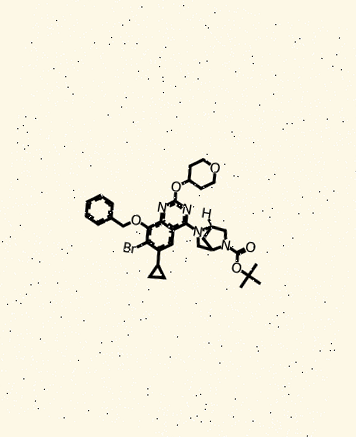 CC(C)(C)OC(=O)N1C[C@@H]2CC1CN2c1nc(OC2CCOCC2)nc2c(OCc3ccccc3)c(Br)c(C3CC3)cc12